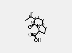 CC(C)C1CCC2CCC(C(=O)O)N2C1=O